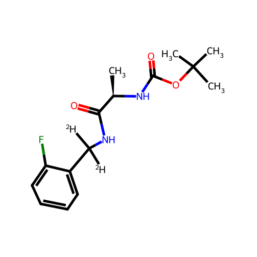 [2H]C([2H])(NC(=O)[C@@H](C)NC(=O)OC(C)(C)C)c1ccccc1F